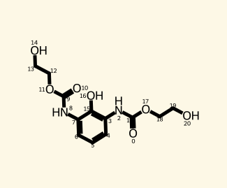 O=C(Nc1cccc(NC(=O)OCCO)c1O)OCCO